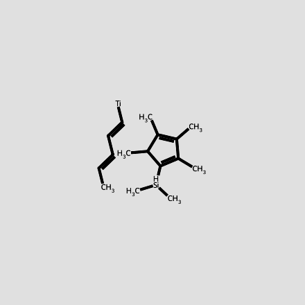 CC1=C(C)C(C)C([SiH](C)C)=C1C.CC=CC=[CH][Ti]